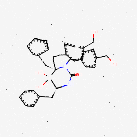 O=C1N[C@@H](Cc2ccccc2)[Si](O)(O)[C@](Cc2ccccc2)(Cc2ccc(CO)cc2)N1Cc1ccc(CO)cc1